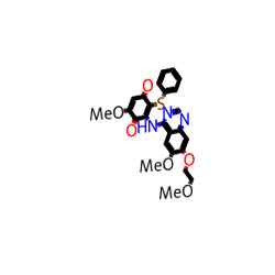 COCCOc1cc2ncnc(NC3=C(Sc4ccccc4)C(=O)C=C(OC)C3=O)c2cc1OC